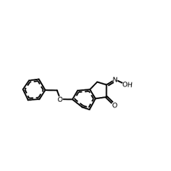 O=C1C(=NO)Cc2cc(OCc3ccccc3)ccc21